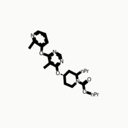 CCCOC(=O)N1CC[C@H](Oc2ncnc(Oc3cccnc3C)c2C)CC1CCC